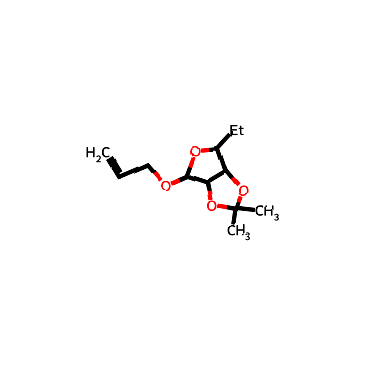 C=CCOC1OC(CC)C2OC(C)(C)OC12